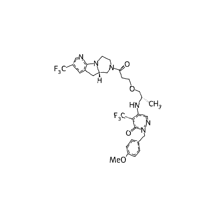 COc1ccc(Cn2ncc(N[C@@H](C)COCCC(=O)N3CCN4c5ncc(C(F)(F)F)cc5C[C@H]4C3)c(C(F)(F)F)c2=O)cc1